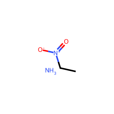 CC[N+](=O)[O-].N